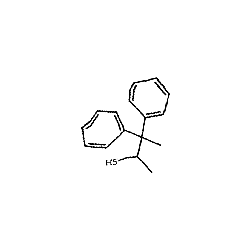 CC(S)C(C)(c1ccccc1)c1ccccc1